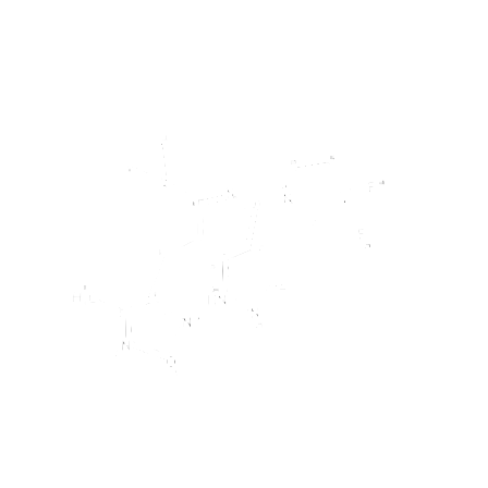 Cc1nonc1Cc1c(C2CC2)nc(N2CCC(F)(F)C2)c2cn[nH]c12